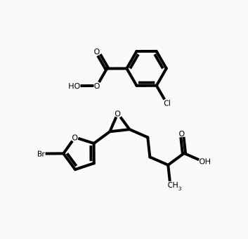 CC(CCC1OC1c1ccc(Br)o1)C(=O)O.O=C(OO)c1cccc(Cl)c1